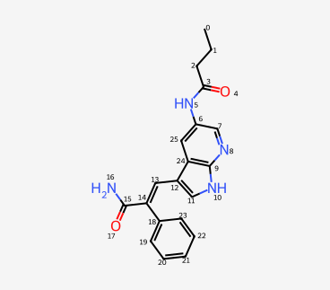 CCCC(=O)Nc1cnc2[nH]cc(/C=C(/C(N)=O)c3ccccc3)c2c1